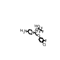 NC1CCN(C(=O)COc2ccc(Cl)c(F)c2)CC1.O=C(O)C(F)(F)F